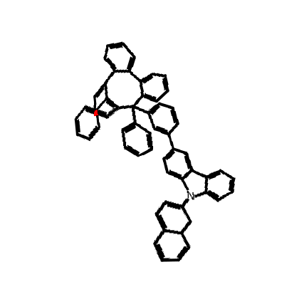 C1=CC2=CC=C(n3c4ccccc4c4cc(-c5cccc(C6(c7ccccc7)c7ccccc7-c7ccccc7-c7cccc6c7-c6ccccc6)c5)ccc43)CC2C=C1